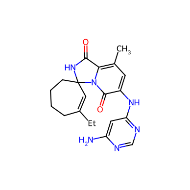 CCC1=CC2(CCCC1)NC(=O)c1c(C)cc(Nc3cc(N)ncn3)c(=O)n12